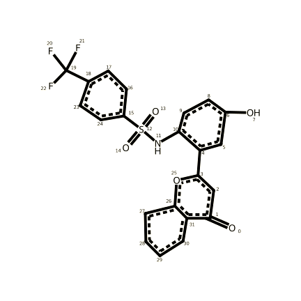 O=c1cc(-c2cc(O)ccc2NS(=O)(=O)c2ccc(C(F)(F)F)cc2)oc2ccccc12